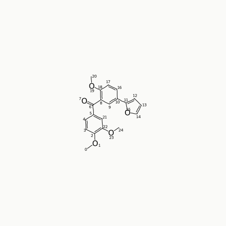 COc1ccc(C(=O)c2cc(-c3ccco3)ccc2OC)cc1OC